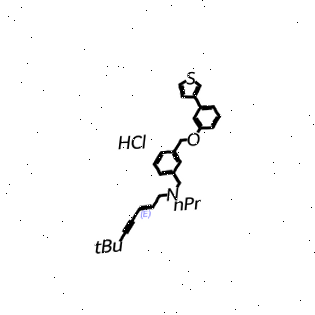 CCCN(C/C=C/C#CC(C)(C)C)Cc1cccc(COc2cccc(-c3ccsc3)c2)c1.Cl